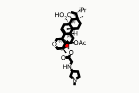 CC(=O)O[C@@H]1C[C@@]23COC[C@](C)([C@@H]2CC[C@H]2C3=CC[C@@]3(C)[C@H](C(=O)O)[C@@](C)([C@H](C)C(C)C)CC[C@]23C)[C@H]1OC(=O)CNC1CCN(C)C1